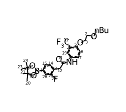 CCCCOCCOc1ccc(NC(=O)Cc2ccc(B3OC(C)(C)C(C)(C)O3)cc2F)cc1C(F)(F)F